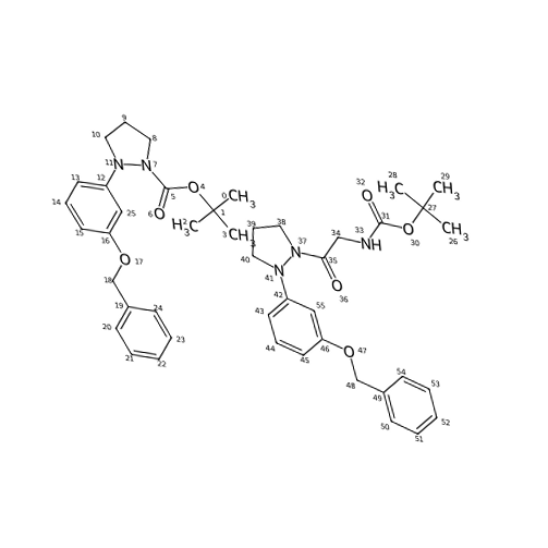 CC(C)(C)OC(=O)N1CCCN1c1cccc(OCc2ccccc2)c1.CC(C)(C)OC(=O)NCC(=O)N1CCCN1c1cccc(OCc2ccccc2)c1